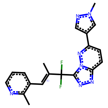 C/C(=C\c1cccnc1C)C(F)(F)c1nnc2ccc(-c3cnn(C)c3)nn12